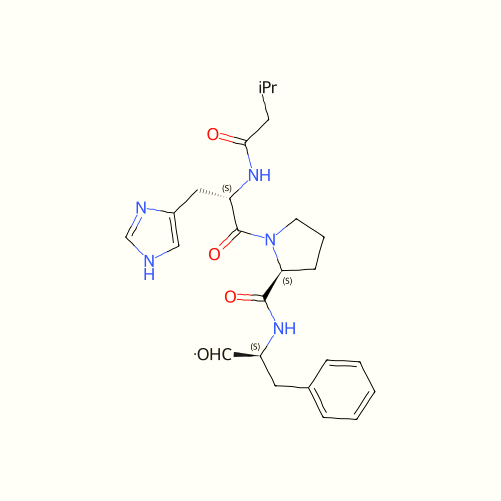 CC(C)CC(=O)N[C@@H](Cc1c[nH]cn1)C(=O)N1CCC[C@H]1C(=O)N[C@H]([C]=O)Cc1ccccc1